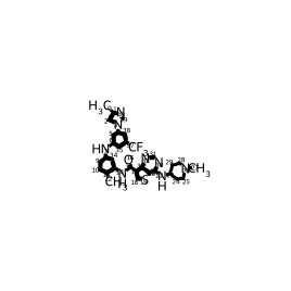 Cc1cn(-c2cc(Nc3ccc(C)c(NC(=O)c4csc5c(NC6CCN(C)CC6)ncnc45)c3)cc(C(F)(F)F)c2)cn1